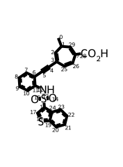 CC1C=C(C#Cc2ccccc2NS(=O)(=O)c2csc3ccccc23)C=CC(C(=O)O)=C1